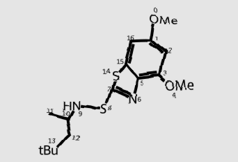 COc1cc(OC)c2nc(SNC(C)CC(C)(C)C)sc2c1